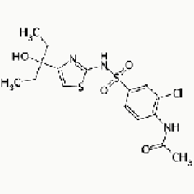 CCC(O)(CC)c1csc(NS(=O)(=O)c2ccc(NC(C)=O)c(Cl)c2)n1